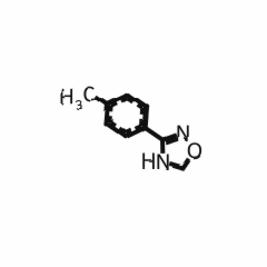 Cc1ccc(C2=NOCN2)cc1